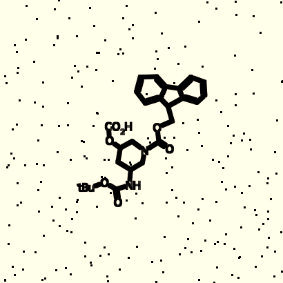 CC(C)(C)OC(=O)NC1CC(OC(=O)O)CN(C(=O)OCC2c3ccccc3-c3ccccc32)C1